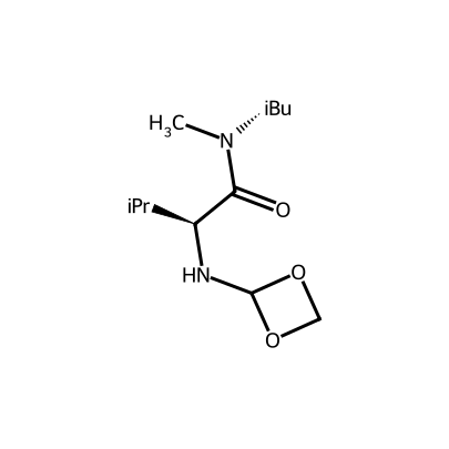 CC[C@@H](C)N(C)C(=O)[C@@H](NC1OCO1)C(C)C